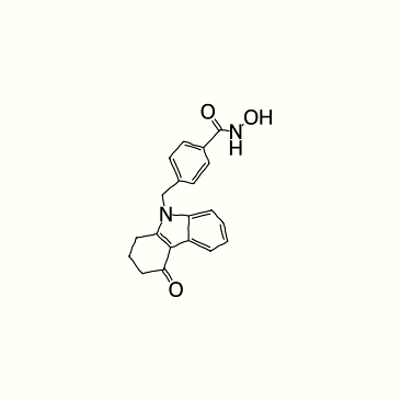 O=C(NO)c1ccc(Cn2c3c(c4ccccc42)C(=O)CCC3)cc1